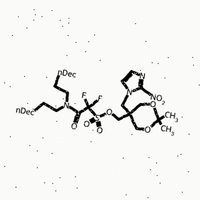 CCCCCCCCCCCCN(CCCCCCCCCCCC)C(=O)C(F)(F)S(=O)(=O)OCC1(Cn2ccnc2[N+](=O)[O-])COC(C)(C)OC1